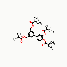 C=C(C)C(=O)OCc1cc(COC(=O)C(=C)C)cc(-c2ccc(OC(=O)C(=C)C)c(OC(=O)C(=C)C)c2)c1